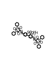 O=C1C(N=Nc2ccc(-c3ccc(N=NC4C(=O)N(C5CCCCC5)C(=O)N(C5CCCCC5)C4=O)cc3S(=O)(=O)O)c(S(=O)(=O)O)c2)C(=O)N(C2CCCCC2)C(=O)N1C1CCCCC1